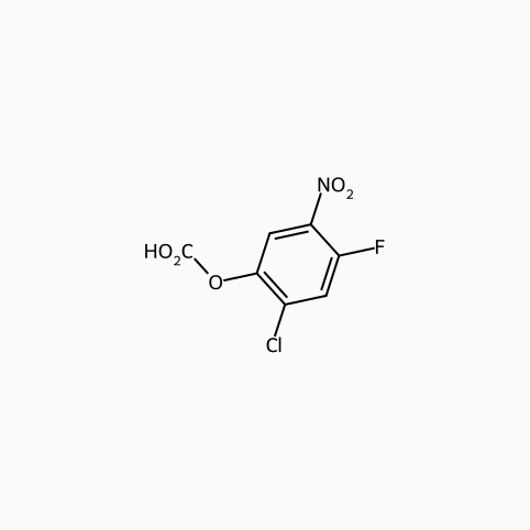 O=C(O)Oc1cc([N+](=O)[O-])c(F)cc1Cl